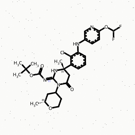 C[C@@H]1CC(N2C(=O)C[C@@](C)(c3cccc(Nc4ccc(OC(F)F)nc4)c3Cl)N/C2=N\C(=O)OC(C)(C)C)CCO1